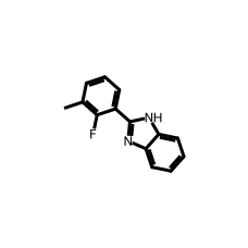 Cc1cccc(-c2nc3ccccc3[nH]2)c1F